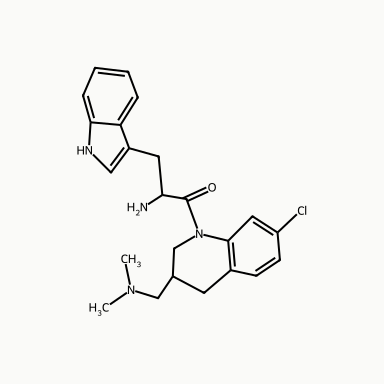 CN(C)CC1Cc2ccc(Cl)cc2N(C(=O)C(N)Cc2c[nH]c3ccccc23)C1